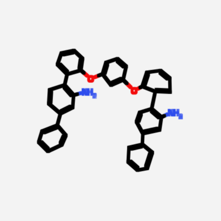 Nc1cc(-c2ccccc2)ccc1-c1ccccc1Oc1cccc(Oc2ccccc2-c2ccc(-c3ccccc3)cc2N)c1